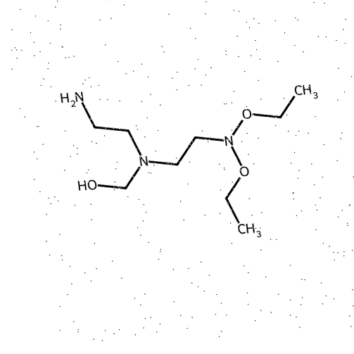 CCON(CCN(CO)CCN)OCC